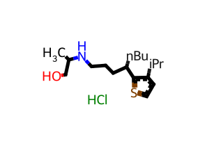 CCCCC(CCCNC(C)CO)c1sccc1C(C)C.Cl